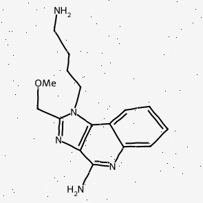 COCc1nc2c(N)nc3ccccc3c2n1CCCCN